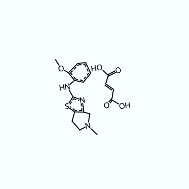 COc1ccccc1Nc1nc2c(s1)CCN(C)C2.O=C(O)C=CC(=O)O